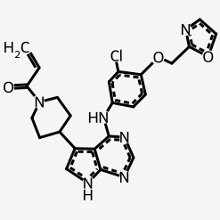 C=CC(=O)N1CCC(c2c[nH]c3ncnc(Nc4ccc(OCc5ncco5)c(Cl)c4)c23)CC1